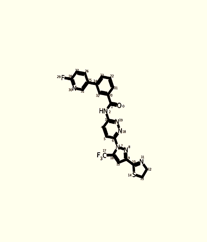 O=C(Nc1ccc(-n2nc(C3=NCCS3)cc2C(F)(F)F)nn1)c1cccc(-c2ccc(F)nc2)c1